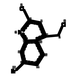 ClCc1cc(Cl)nc2cc(Br)ccc12